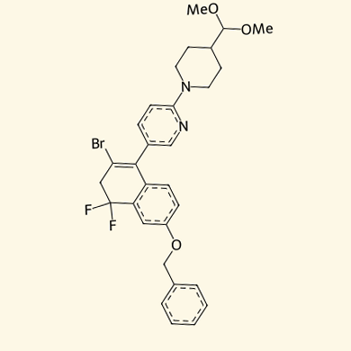 COC(OC)C1CCN(c2ccc(C3=C(Br)CC(F)(F)c4cc(OCc5ccccc5)ccc43)cn2)CC1